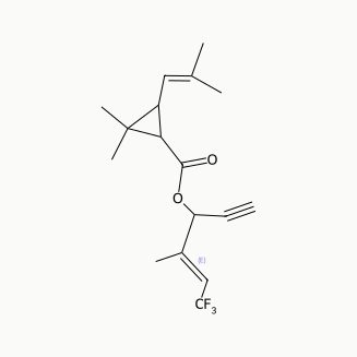 C#CC(OC(=O)C1C(C=C(C)C)C1(C)C)/C(C)=C/C(F)(F)F